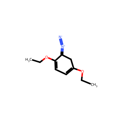 CCOC1=CC=C(OCC)C(=[N+]=[N-])C1